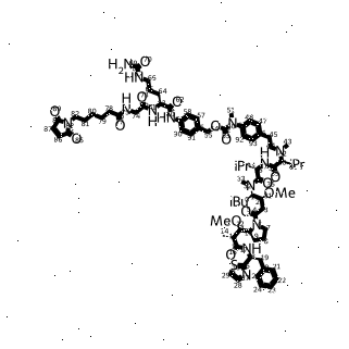 CC[C@H](C)[C@@H]([C@@H](CC(=O)N1CCC[C@H]1[C@H](OC)[C@@H](C)C(=O)N[C@@H](Cc1ccccc1)c1nccs1)OC)N(C)C(=O)[C@@H](NC(=O)[C@H](C(C)C)N(C)CCc1ccc(N(C)C(=O)OCc2ccc(NC(=O)[C@H](CCCNC(N)=O)NC(=O)CNC(=O)CCCCCN3C(=O)C=CC3=O)cc2)cc1)C(C)C